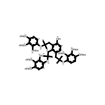 CCCCCCc1ccc(OC(C)(C)Cc2ccc(O)c(CC(C)(C)Oc3ccc(CCCCCC)c(CCCCCC)c3CCCCCC)c2CC(C)(C)Oc2ccc(CCCCCC)c(CCCCCC)c2CCCCCC)c(CCCCCC)c1CCCCCC